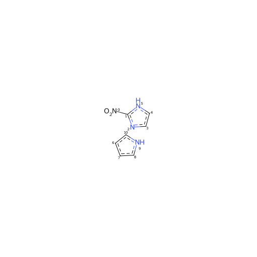 O=[N+]([O-])c1ncc[nH]1.c1cc[nH]c1